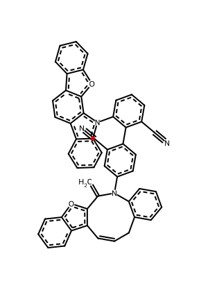 C=C1c2oc3ccccc3c2/C=C\Cc2ccccc2N1c1ccc(-c2c(C#N)cccc2-n2c3ccccc3c3ccc4c5ccccc5oc4c32)c(C#N)c1